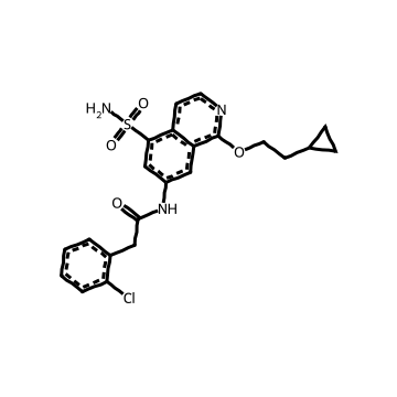 NS(=O)(=O)c1cc(NC(=O)Cc2ccccc2Cl)cc2c(OCCC3CC3)nccc12